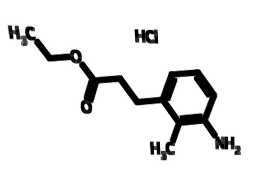 CCOC(=O)CCc1cccc(N)c1C.Cl